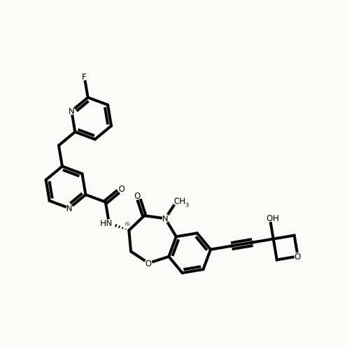 CN1C(=O)[C@@H](NC(=O)c2cc(Cc3cccc(F)n3)ccn2)COc2ccc(C#CC3(O)COC3)cc21